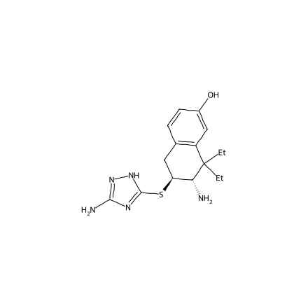 CCC1(CC)c2cc(O)ccc2C[C@H](Sc2nc(N)n[nH]2)[C@H]1N